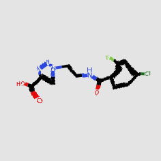 O=C(O)c1cn(CCNC(=O)c2ccc(Cl)cc2F)nn1